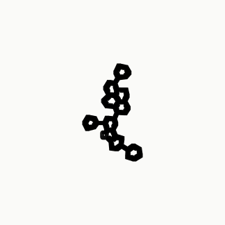 c1ccc(-c2ccc3oc4c(-c5ccccc5)cc(-c5ccc6ccc7c(-c8ccccc8)ccc8ccc5c6c87)cc4c3c2)cc1